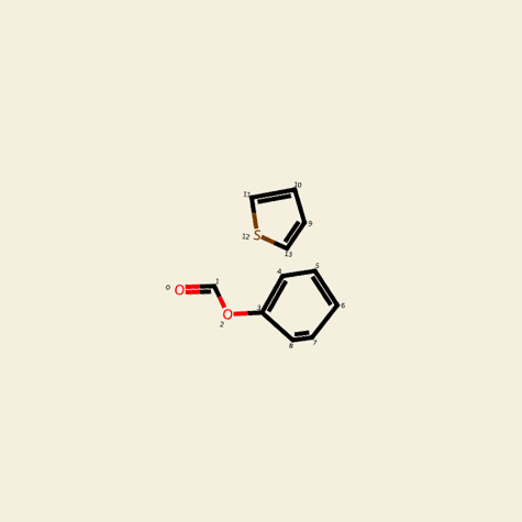 O=COc1ccccc1.c1ccsc1